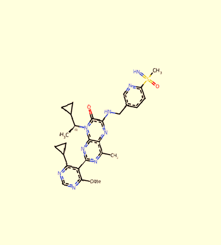 COc1ncnc(C2CC2)c1-c1nc(C)c2nc(NCc3ccc(S(C)(=N)=O)nc3)c(=O)n([C@@H](C)C3CC3)c2n1